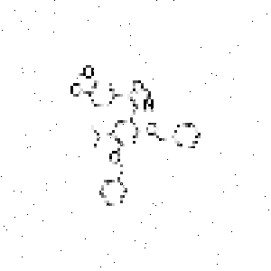 CC(C)c1cc(-c2ncoc2-c2ccc3c(c2)OCO3)c(OCc2ccccc2)cc1OCc1ccccc1